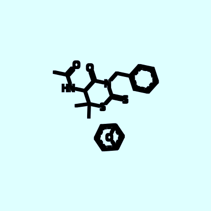 CC(=O)NC1C(=O)N(Cc2ccccc2)C(=S)SC1(C)C.c1cc2cc(c1)O2